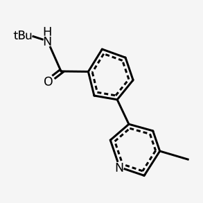 Cc1cncc(-c2cccc(C(=O)NC(C)(C)C)c2)c1